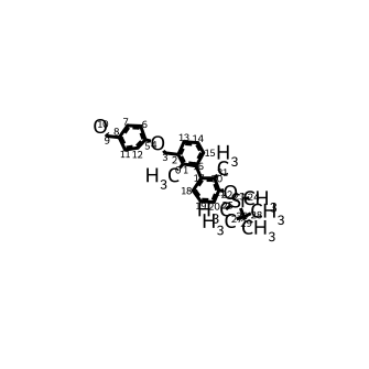 Cc1c(COc2ccc(C=O)cc2)cccc1-c1cccc(O[Si](C)(C)C(C)(C)C)c1C